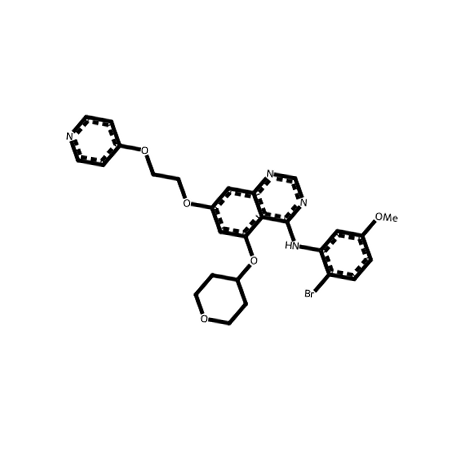 COc1ccc(Br)c(Nc2ncnc3cc(OCCOc4ccncc4)cc(OC4CCOCC4)c23)c1